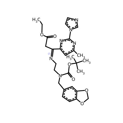 CCOC(=O)C/C(=N/CCN(Cc1ccc2c(c1)OCO2)C(=O)OC(C)(C)C)c1cc(C)nc(-n2ccnc2)n1